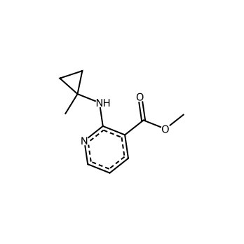 COC(=O)c1cccnc1NC1(C)CC1